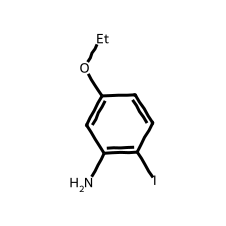 CCOc1ccc(I)c(N)c1